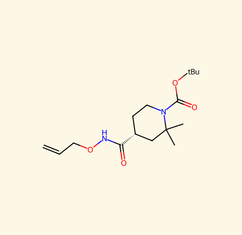 C=CCONC(=O)[C@@H]1CCN(C(=O)OC(C)(C)C)C(C)(C)C1